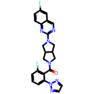 O=C(c1c(F)cccc1-n1nccn1)N1CC2CN(c3ncc4cc(F)ccc4n3)CC2C1